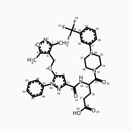 Cc1noc(C)c1COc1cc(C(=O)NC(CCC(=O)O)C(=O)N2CCN(c3cccc(C(F)(F)F)c3)CC2)nn1-c1ccccc1